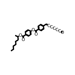 CCCCCCC(C)OC(=O)c1ccc(OC(=O)c2ccc(C=C=C=C=C=C=O)cc2)cc1